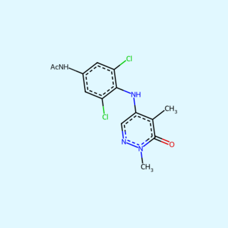 CC(=O)Nc1cc(Cl)c(Nc2cnn(C)c(=O)c2C)c(Cl)c1